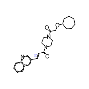 O=C(/C=C/c1cnc2ccccc2c1)N1CCN(C(=O)COC2CCCCCC2)CC1